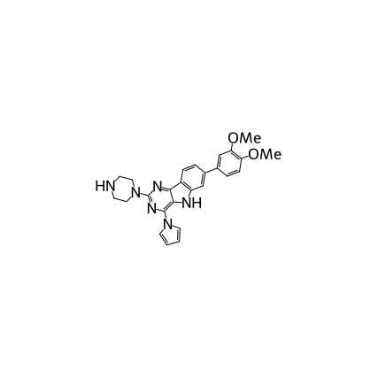 COc1ccc(-c2ccc3c(c2)[nH]c2c(-n4cccc4)nc(N4CCNCC4)nc23)cc1OC